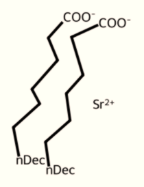 CCCCCCCCCCCCCCCC(=O)[O-].CCCCCCCCCCCCCCCC(=O)[O-].[Sr+2]